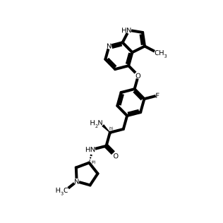 Cc1c[nH]c2nccc(Oc3ccc(C[C@H](N)C(=O)N[C@@H]4CCN(C)C4)cc3F)c12